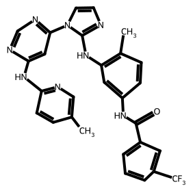 Cc1ccc(Nc2cc(-n3ccnc3Nc3cc(NC(=O)c4cccc(C(F)(F)F)c4)ccc3C)ncn2)nc1